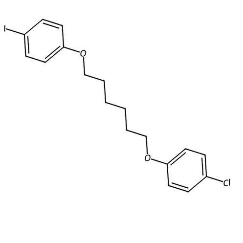 Clc1ccc(OCCCCCCOc2ccc(I)cc2)cc1